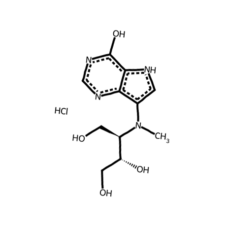 CN(c1c[nH]c2c(O)ncnc12)[C@H](CO)[C@H](O)CO.Cl